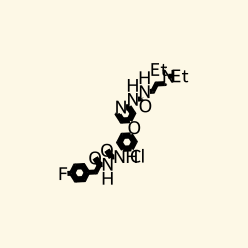 CCN(CC)CCCNC(=O)Nc1cc(Oc2ccc(NC(=O)NC(=O)Cc3ccc(F)cc3)c(Cl)c2)ccn1